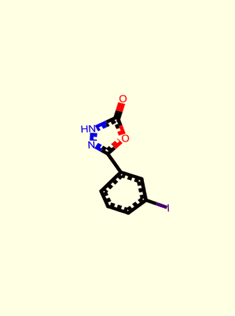 O=c1[nH]nc(-c2cccc(I)c2)o1